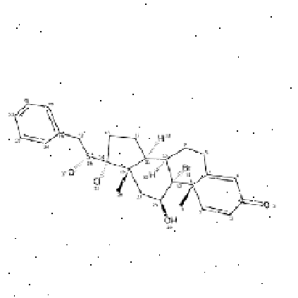 C[C@]12C=CC(=O)C=C1CC[C@@H]1[C@@H]3CC[C@](Cl)([S@+]([O-])Cc4ccccc4)[C@@]3(C)C[C@H](O)[C@@]12Br